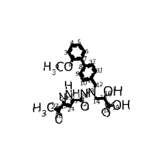 COc1ccccc1-c1ccc(CN(C[C@H](O)C(=O)O)NC(=O)c2cc(C(C)=O)n[nH]2)cc1